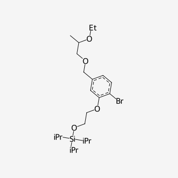 CCOC(C)COCc1ccc(Br)c(OCCO[Si](C(C)C)(C(C)C)C(C)C)c1